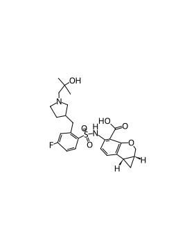 CC(C)(O)CN1CCC(Cc2cc(F)ccc2S(=O)(=O)Nc2ccc3c(c2C(=O)O)OC[C@@H]2C[C@H]32)C1